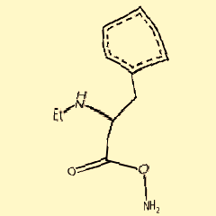 CCNC(Cc1ccccc1)C(=O)ON